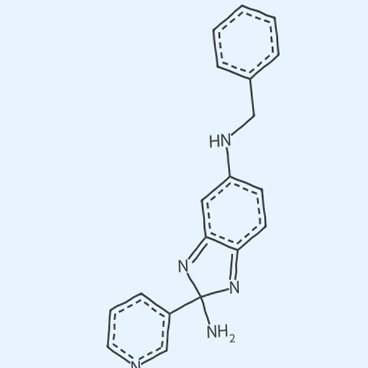 NC1(c2cccnc2)N=c2ccc(NCc3ccccc3)cc2=N1